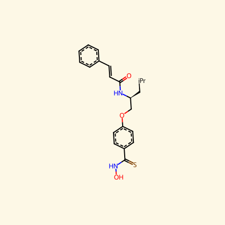 CC(C)C[C@@H](COc1ccc(C(=S)NO)cc1)NC(=O)/C=C/c1ccccc1